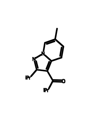 Cc1ccc2c(C(=O)C(C)C)c(C(C)C)nn2c1